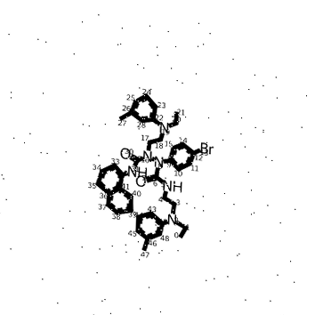 CCN(CCNC(=O)N(c1ccc(Br)cc1)N(CCN(CC)c1cccc(C)c1)C(=O)Nc1cccc2ccccc12)c1cccc(C)c1